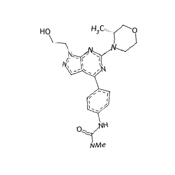 CNC(=O)Nc1ccc(-c2nc(N3CCOC[C@H]3C)nc3c2cnn3CCO)cc1